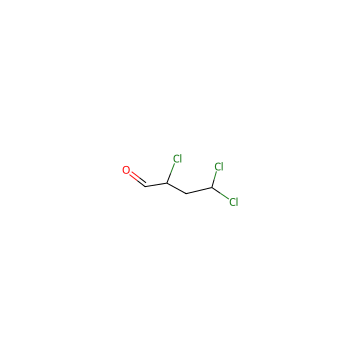 O=CC(Cl)CC(Cl)Cl